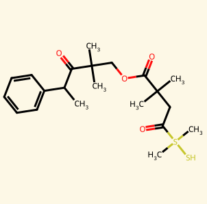 CC(C(=O)C(C)(C)COC(=O)C(C)(C)CC(=O)S(C)(C)S)c1ccccc1